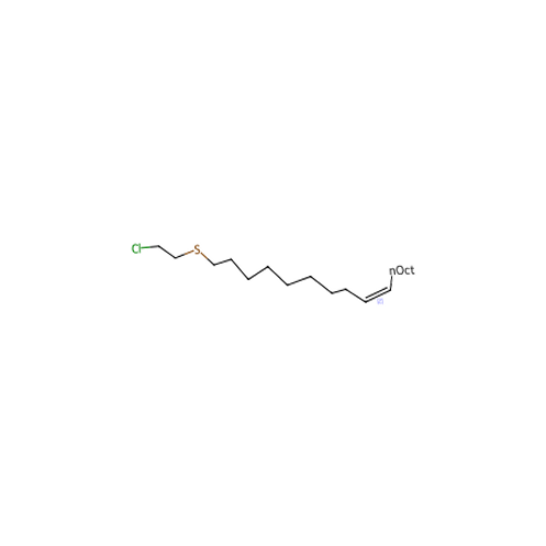 CCCCCCCC/C=C\CCCCCCCCSCCCl